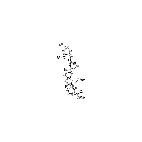 COCCn1c(Cc2ccc(-c3ccnc(OCc4ccc(C#N)cc4OC)n3)c(F)c2)nc2ccc(C(=O)OC)cc21